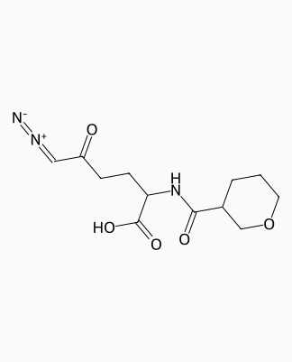 [N-]=[N+]=CC(=O)CCC(NC(=O)C1CCCOC1)C(=O)O